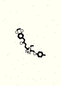 CCn1c(CCC(=O)Cc2ccc3c(c2)OCCO3)nnc1COc1ccc(C)cc1